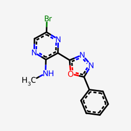 CNc1ncc(Br)nc1-c1nnc(-c2ccccc2)o1